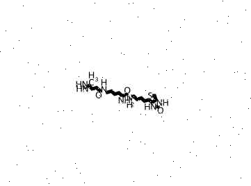 CC1(CCC(=O)NCCCCC(N)C(=O)NCCCCC2SCC3NC(=O)NC32)NN1